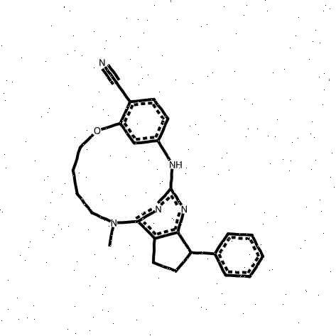 CN1CCCCOc2cc(ccc2C#N)Nc2nc3c(c1n2)CCC3c1ccccc1